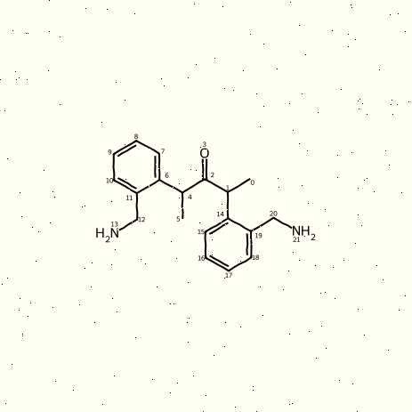 CC(C(=O)C(C)c1ccccc1CN)c1ccccc1CN